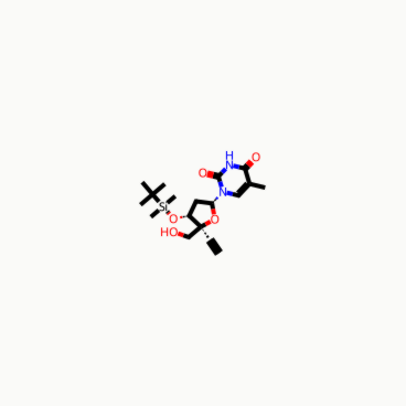 C#C[C@@]1(CO)O[C@@H](n2cc(C)c(=O)[nH]c2=O)C[C@H]1O[Si](C)(C)C(C)(C)C